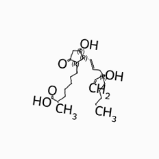 C=C[C@](O)(CC=C[C@H]1[C@H](O)CC(=O)[C@@H]1CCCCCC(C)C(=O)O)CCCCC